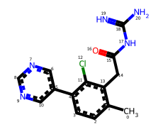 Cc1ccc(-c2cncnc2)c(Cl)c1CC(=O)NC(=N)N